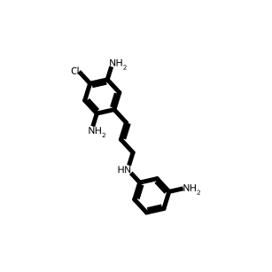 Nc1cccc(NC/C=C/c2cc(N)c(Cl)cc2N)c1